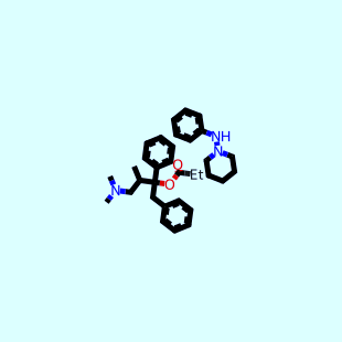 CCC(=O)OC(Cc1ccccc1)(c1ccccc1)C(C)CN(C)C.c1ccc(NN2CCCCC2)cc1